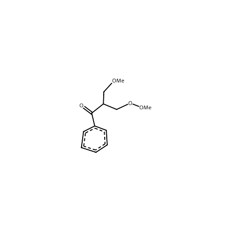 COCC(COOC)C(=O)c1ccccc1